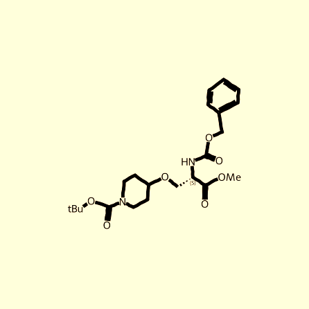 COC(=O)[C@H](COC1CCN(C(=O)OC(C)(C)C)CC1)NC(=O)OCc1ccccc1